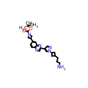 CC(C)(C)OC(=O)N1CC(c2ccc3ncc(-c4cnn(C5CC(CCCN)C5)c4)nc3c2)C1